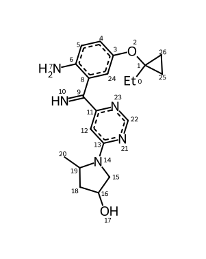 CCC1(Oc2ccc(N)c(C(=N)c3cc(N4CC(O)CC4C)ncn3)c2)CC1